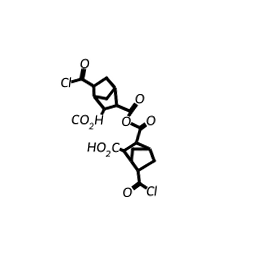 O=C(Cl)C1CC2CC1C(C(=O)O)C2C(=O)OC(=O)C1C2CC(C(=O)Cl)C(C2)C1C(=O)O